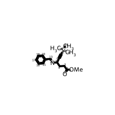 COC(=O)CCC(C#C[Si](C)(C)C)/N=C/c1ccccc1